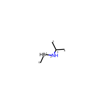 CBNC(C)C